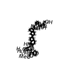 COC(=O)NC(C(=O)N1C[Si](C)(C)CC1c1nc2ccc3cc(-c4ccc5c(ccc6nc([C@@H]7CCCN7C(=O)C(NC(=O)CO)C(C)C)[nH]c65)c4)ccc3c2[nH]1)C1CCOCC1